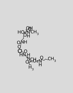 CCCCC(=O)NCCOCC(C)(C)C(=O)NCCNC(=O)c1cccc(OCC(=O)NCCCO[C@H](O)C(=CO)NC(C)=O)c1